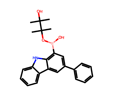 CC(C)(O)C(C)(C)OB(O)c1cc(-c2ccccc2)cc2c1[nH]c1ccccc12